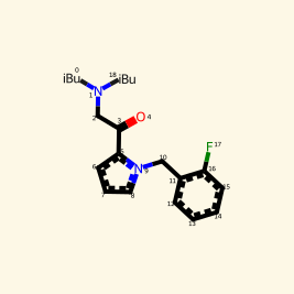 CCC(C)N(CC(=O)c1cccn1Cc1ccccc1F)C(C)CC